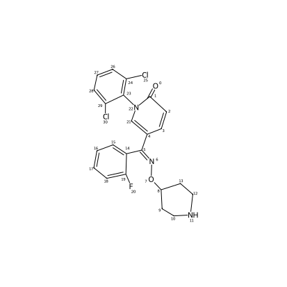 O=c1ccc(/C(=N/OC2CCNCC2)c2ccccc2F)cn1-c1c(Cl)cccc1Cl